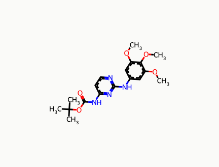 COc1cc(Nc2nccc(NC(=O)OC(C)(C)C)n2)cc(OC)c1OC